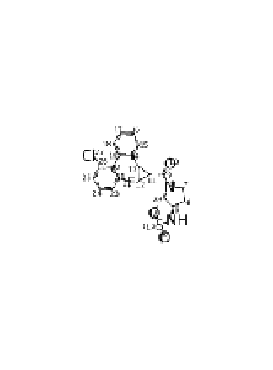 CS(=O)(=O)N[C@@H]1CCN(C(=O)[C@@H]2C[C@H]2c2ccccc2-c2c(F)cccc2Cl)C1